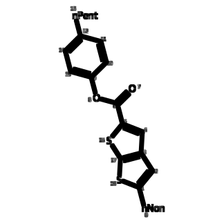 CCCCCCCCCc1cc2cc(C(=O)Oc3ccc(CCCCC)cc3)sc2s1